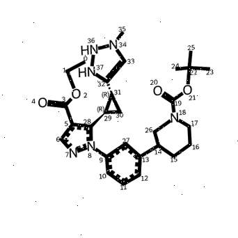 CCOC(=O)c1cnn(-c2cccc(C3CCCN(C(=O)OC(C)(C)C)C3)c2)c1[C@@H]1C[C@H]1C1=CN(C)NN1